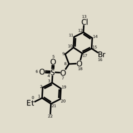 CCc1cc(S(=O)(=O)OC2Cc3cc(Cl)cc(Br)c3O2)ccc1C